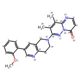 COc1ccccc1-c1cnc2c(c1)CN(c1nn3c(=O)ccnc3c(C)c1C)CC2